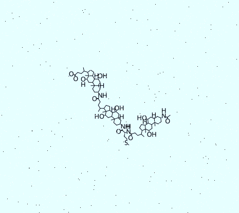 COC(=O)CCC(C)C1CCC2[C@@H]3C(CC(O)C12C)C1(C)CC[C@@H](NC(=O)CCC(C)C2CCC4[C@@H]5C(CC(O)C24C)C2(C)CC[C@@H](NC(=O)[C@H](CCSC)NC(=O)CCC(C)C4CCC6[C@@H]7C(CC(O)C46C)C4(C)CC[C@@H](NC(C)=O)C[C@H]4C[C@@H]7O)C[C@H]2C[C@@H]5O)C[C@H]1C[C@@H]3O